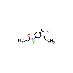 C=CC(=O)N(F)c1ccc(C)c(CCC)c1